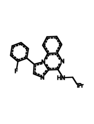 CC(C)CNc1nc2ccccc2n2c(-c3ccccc3F)cnc12